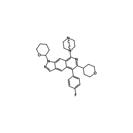 Fc1ccc(-c2c(C3CCOCC3)nc([N+]34CCN(CC3)CC4)c3cc4c(cnn4C4CCCCO4)cc23)cc1